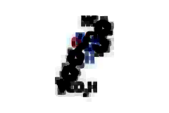 Cc1noc(-c2ccc(-c3ccc(C4(C(=O)O)CC4)cc3)cc2)c1Nc1cccc(-c2cccc(C#N)c2)n1